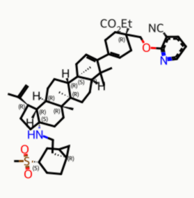 C=C(C)[C@@H]1CC[C@]2(NCC[C@]34CC[C@H](S(C)(=O)=O)CC3C4)CC[C@]3(C)[C@H](CC[C@@H]4[C@@]5(C)CC=C(C6=CC[C@](COc7ncccc7C#N)(C(=O)OCC)CC6)C(C)(C)[C@@H]5CC[C@]43C)[C@@H]12